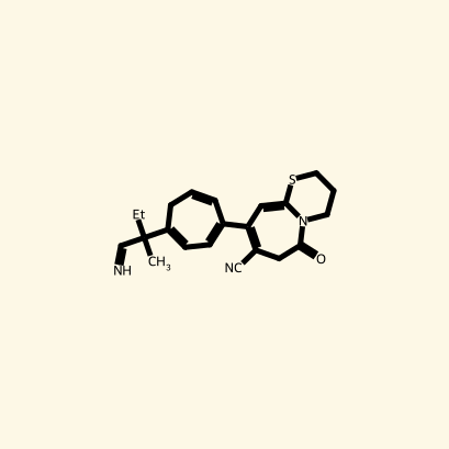 CCC(C)(C=N)C1=CC=C(C2=C(C#N)CC(=O)N3CCCSC3=C2)C=CC1